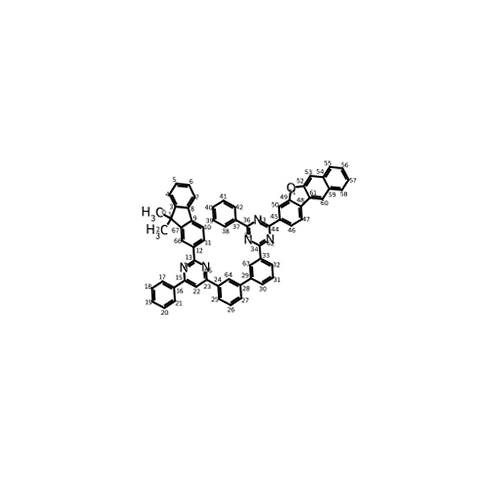 CC1(C)c2ccccc2-c2ccc(-c3nc(-c4ccccc4)cc(-c4cccc(-c5cccc(-c6nc(-c7ccccc7)nc(-c7ccc8c(c7)oc7cc9ccccc9cc78)n6)c5)c4)n3)cc21